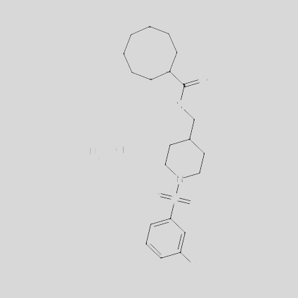 O=C(NCC1CCN(S(=O)(=O)c2cccc(Cl)c2)CC1)[C]1CCCCCCC1.[CH2].[CH2]